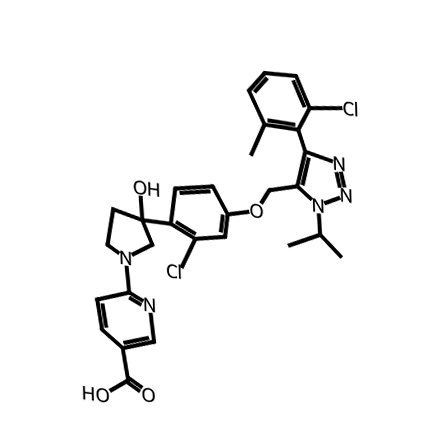 Cc1cccc(Cl)c1-c1nnn(C(C)C)c1COc1ccc(C2(O)CCN(c3ccc(C(=O)O)cn3)C2)c(Cl)c1